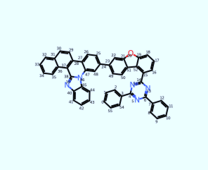 c1ccc(-c2nc(-c3ccccc3)nc(-c3cccc4oc5cc(-c6ccc7c8ccc9ccccc9c8c8nc9ccccc9n8c7c6)ccc5c34)n2)cc1